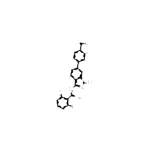 CC(=O)c1ccc(-c2ccc3c(NC(=O)c4c(F)cccc4F)n[nH]c3c2)cc1